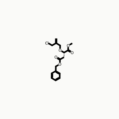 C=C(CCl)CO[C@@H](CC(=O)OCc1ccccc1)C(=O)OC